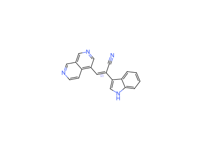 N#C/C(=C\c1cncc2cnccc12)c1c[nH]c2ccccc12